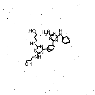 Nc1nc(Nc2ccccc2)nc(C2CC3CC(c4nc(NCCCO)nc(NCCCO)n4)C2C3)n1